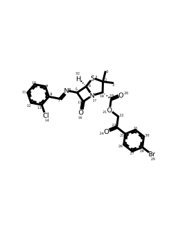 CC1(C)S[C@@H]2C(/N=C/c3ccccc3Cl)C(=O)N2[C@H]1C(=O)OCC(=O)c1ccc(Br)cc1